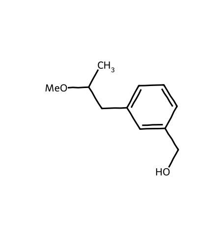 COC(C)Cc1cccc(CO)c1